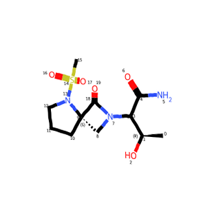 C[C@@H](O)C(C(N)=O)N1C[C@@]2(CCCN2S(C)(=O)=O)C1=O